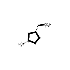 N[C@H]1CC[C@@H](CC(=O)O)C1